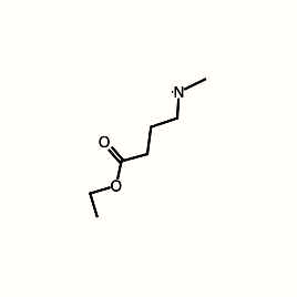 CCOC(=O)CCC[N]C